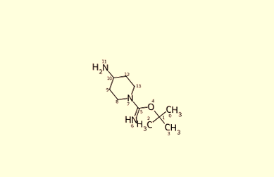 CC(C)(C)OC(=N)N1CCC(N)CC1